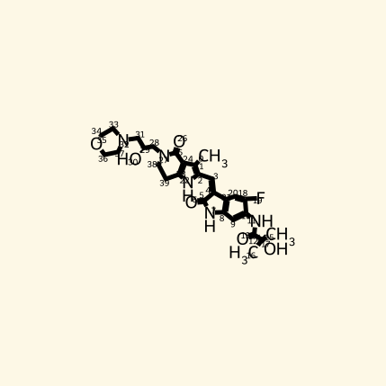 Cc1c(/C=C2\C(=O)Nc3cc(NC(=O)C(C)(C)O)c(F)cc32)[nH]c2c1C(=O)N(C[C@H](O)CN1CCOCC1)CC2